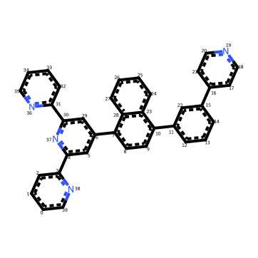 c1ccc(-c2cc(-c3ccc(-c4cccc(-c5ccncc5)c4)c4ccccc34)cc(-c3ccccn3)n2)nc1